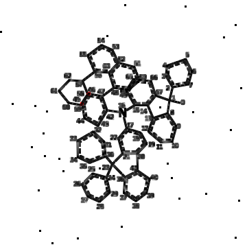 CC1(c2ccccc2)c2ccccc2-c2c(N(c3ccc4c(c3)C(c3ccccc3)(c3ccccc3)c3ccccc3-4)c3ccccc3-c3cccc4cccc(C5CCCCC5)c34)cccc21